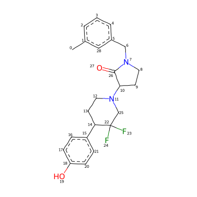 Cc1cccc(CN2CCC(N3CCC(c4ccc(O)cc4)C(F)(F)C3)C2=O)c1